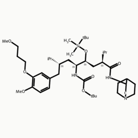 COCCCOc1cc(C[C@@H](C[C@H](NC(=O)OC(C)(C)C)[C@H](C[C@H](C(=O)NC2CN3CCC2CC3)C(C)C)O[Si](C)(C)C(C)(C)C)C(C)C)ccc1OC